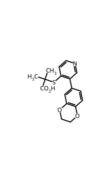 CC(C)(Sc1ccncc1-c1ccc2c(c1)OCCO2)C(=O)O